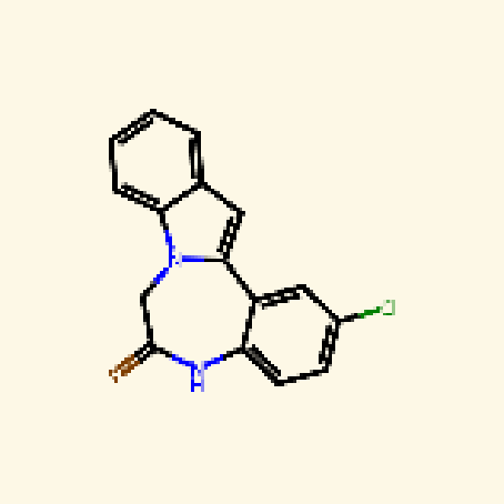 S=C1Cn2c(cc3ccccc32)-c2cc(Cl)ccc2N1